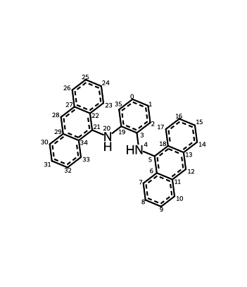 c1ccc(Nc2c3ccccc3cc3ccccc23)c(Nc2c3ccccc3cc3ccccc23)c1